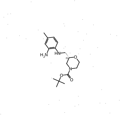 Cc1ccc(NC[C@H]2CN(C(=O)OC(C)(C)C)CCO2)c(N)c1